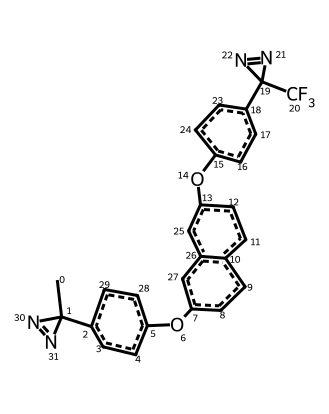 CC1(c2ccc(Oc3ccc4ccc(Oc5ccc(C6(C(F)(F)F)N=N6)cc5)cc4c3)cc2)N=N1